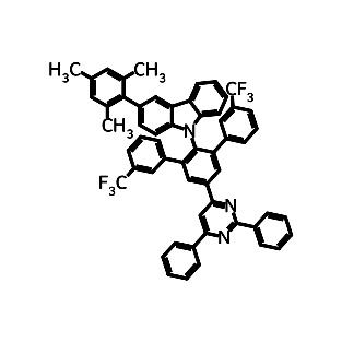 Cc1cc(C)c(-c2ccc3c(c2)c2ccccc2n3-c2c(-c3cccc(C(F)(F)F)c3)cc(-c3cc(-c4ccccc4)nc(-c4ccccc4)n3)cc2-c2cccc(C(F)(F)F)c2)c(C)c1